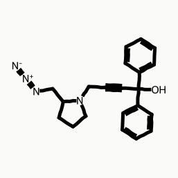 [N-]=[N+]=NCC1CCCN1CC#CC(O)(c1ccccc1)c1ccccc1